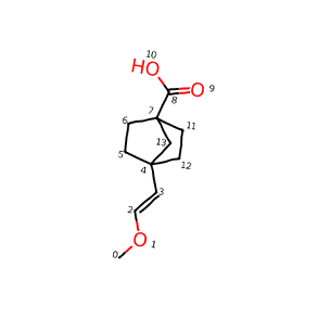 COC=CC12CCC(C(=O)O)(CC1)C2